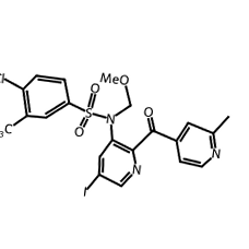 COCN(c1cc(I)cnc1C(=O)c1ccnc(C)c1)S(=O)(=O)c1ccc(Cl)c(C(F)(F)F)c1